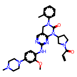 C=CC(=O)N1CCC(N2C(=O)N(c3ccccc3C)Cc3cnc(Nc4ccc(N5CCN(C)CC5)cc4OC)nc32)C1